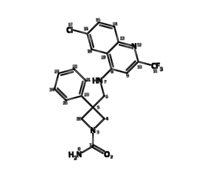 NC(=O)N1CC(CNc2cc(C(F)(F)F)nc3ccc(Cl)cc23)(c2ccccc2)C1